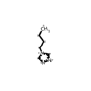 CCCCn1cnnc1